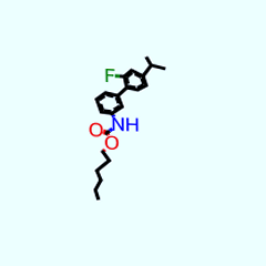 CCCCCCOC(=O)Nc1cccc(-c2ccc(C(C)C)cc2F)c1